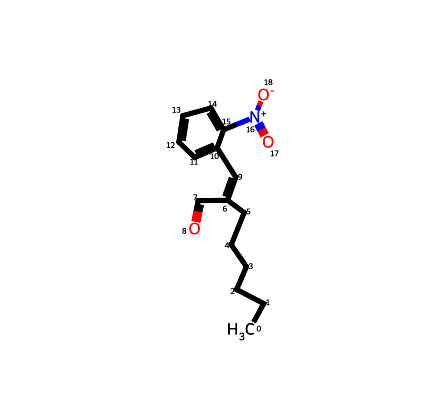 CCCCCCC(C=O)=Cc1ccccc1[N+](=O)[O-]